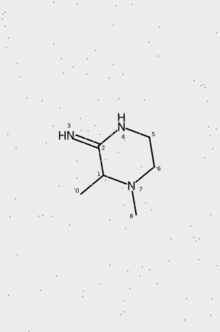 CC1C(=N)NCCN1C